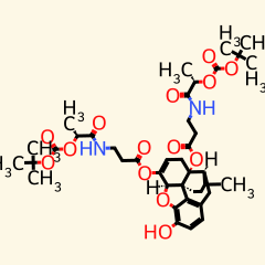 CC1CC[C@]23c4c5ccc(O)c4O[C@H]2C(OC(=O)CCNC(=O)[C@H](C)OC(=O)OC(C)(C)C)=CC[C@@]3(OC(=O)CCNC(=O)[C@H](C)OC(=O)OC(C)(C)C)[C@H]1C5